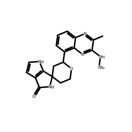 Cc1nc2cccc(C3CC4(CCO3)NC(=O)c3cc[nH]c34)c2nc1NC(C)(C)C